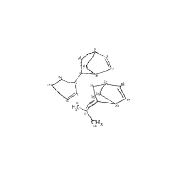 C1=CC(C2CC3C=CC2C3)CC1.CC(C)=C1CC2C=CC1C2